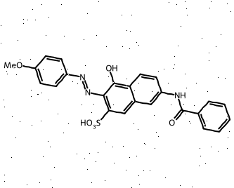 COc1ccc(/N=N/c2c(S(=O)(=O)O)cc3cc(NC(=O)c4ccccc4)ccc3c2O)cc1